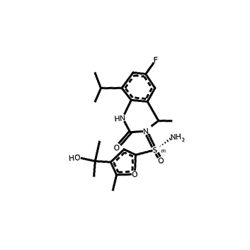 Cc1oc([S@](N)(=O)=NC(=O)Nc2c(C(C)C)cc(F)cc2C(C)C)cc1C(C)(C)O